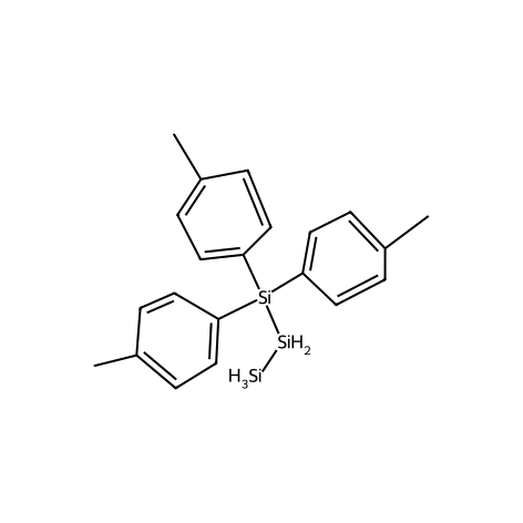 Cc1ccc([Si]([SiH2][SiH3])(c2ccc(C)cc2)c2ccc(C)cc2)cc1